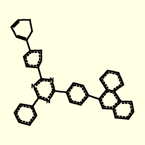 C1=CCCC(c2ccc(-c3nc(-c4ccccc4)nc(-c4ccc(-c5cc6ccccc6c6ccccc56)cc4)n3)cc2)=C1